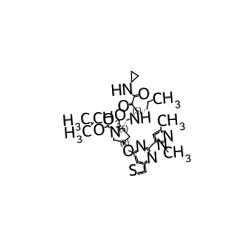 CCC[C@H](NC(=O)[C@@H]1C[C@@H](Oc2nc(-c3cc(C)nn3C)nc3ccsc23)CN1C(=O)OC(C)(C)C)C(=O)C(=O)NC1CC1